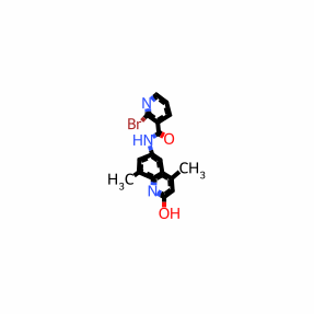 Cc1cc(O)nc2c(C)cc(NC(=O)c3cccnc3Br)cc12